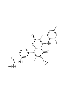 CNC(=O)Nc1cccc(-c2c(C)n(C3CC3)c(=O)c3c(Nc4ccc(C)cc4F)c(C)c(=O)oc23)c1